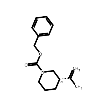 C=C(C)[C@@H]1CCCN(C(=O)OCc2ccccc2)C1